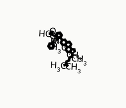 CC(C)CCC[C@@H](C)[C@H]1CCC2C3CC=C4CC(c5cccc(OC(=O)O)c5N=Nc5ccccc5)CC[C@]4(C)C3CC[C@@]21C